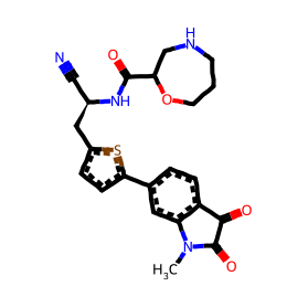 CN1C(=O)C(=O)c2ccc(-c3ccc(C[C@@H](C#N)NC(=O)C4CNCCCO4)s3)cc21